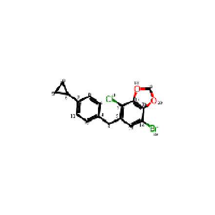 Clc1c(Cc2ccc(C3CC3)cc2)cc(Br)c2c1OCO2